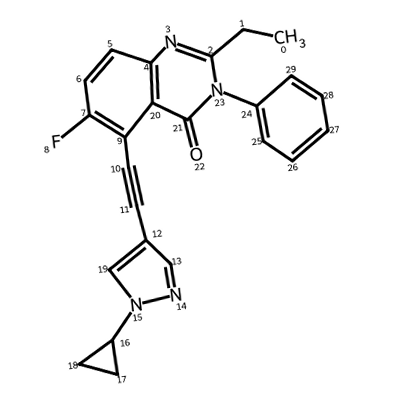 CCc1nc2ccc(F)c(C#Cc3cnn(C4CC4)c3)c2c(=O)n1-c1ccccc1